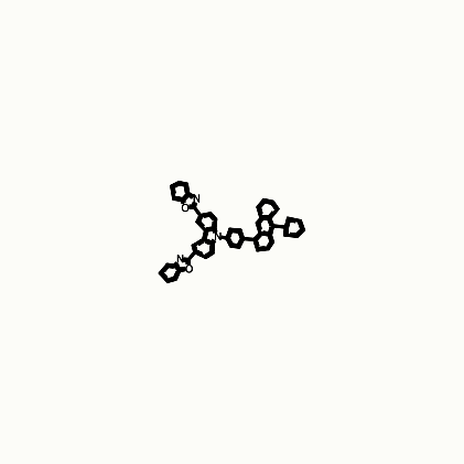 c1ccc(-c2c3ccccc3cc3c(-c4ccc(-n5c6ccc(-c7nc8ccccc8o7)cc6c6cc(-c7nc8ccccc8o7)ccc65)cc4)cccc23)cc1